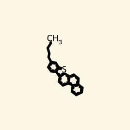 CCCCCc1ccc2c(c1)sc1c2ccc2c3ccccc3ccc21